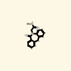 COC(=O)CN1C(=O)c2ccccc2Cc2ccccc21